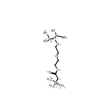 CC(C)N(C(C)C)P(OCCOCCSC(=O)C[N+](C)(C)C)N(C(C)C)C(C)C